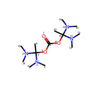 CN(C)C(C)(OC(=O)OC(C)(N(C)C)N(C)C)N(C)C